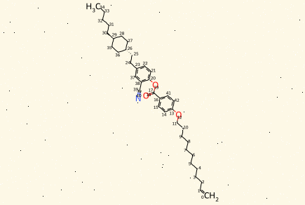 C=CCCCCCCCCCCOc1ccc(C(=O)Oc2ccc(CC[C@H]3CC[C@H](CCCCC)CC3)cc2C#N)cc1